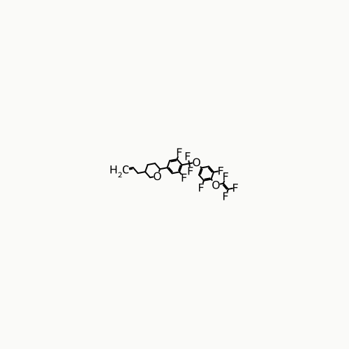 C=CCC1CCC(c2cc(F)c(C(F)(F)Oc3cc(F)c(OC(F)=C(F)F)c(F)c3)c(F)c2)OC1